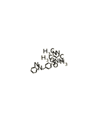 Cc1nn(C)c(C)c1NS(=O)(=O)c1ccc(Cn2cnc3ccccc32)cc1